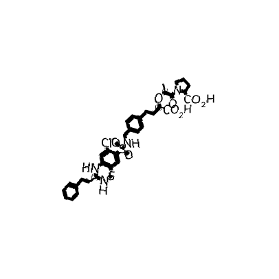 C[C@H](O[C@@H](CCc1ccc(CNS(=O)(=O)c2cc3c(cc2Cl)N[C@H](CCc2ccccc2)NS3)cc1)C(=O)O)C(=O)N1CCCC1C(=O)O